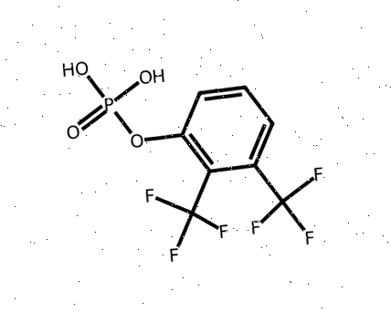 O=P(O)(O)Oc1cccc(C(F)(F)F)c1C(F)(F)F